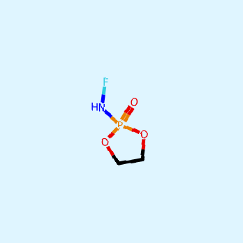 O=P1(NF)OCCO1